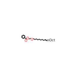 CCCCCCCCC=CCCCCCCCCOCCOC(=O)c1ccccc1